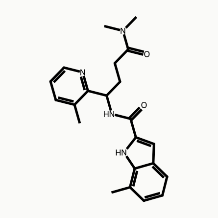 Cc1cccnc1C(CCC(=O)N(C)C)NC(=O)c1cc2cccc(C)c2[nH]1